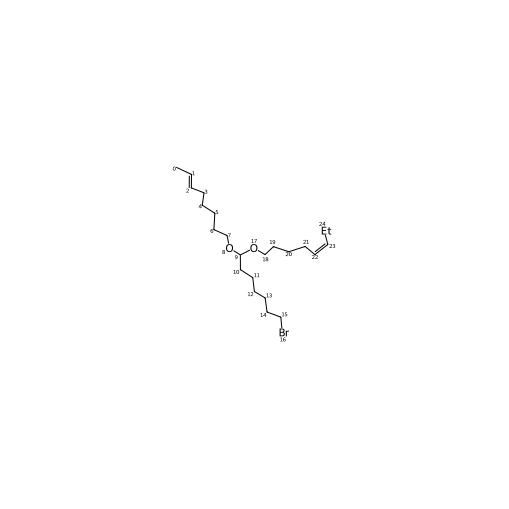 C/C=C/CCCCCOC(CCCCCCBr)OCCCC/C=C\CC